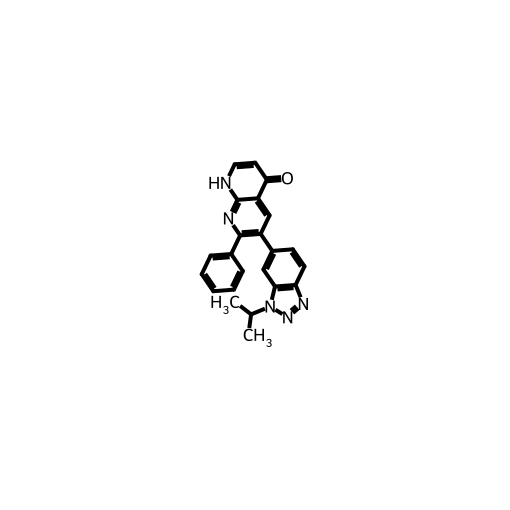 CC(C)n1nnc2ccc(-c3cc4c(=O)cc[nH]c4nc3-c3ccccc3)cc21